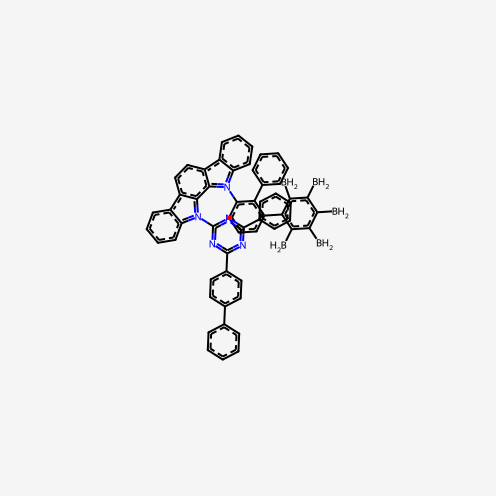 Bc1c(B)c(B)c(-c2cccc(-n3c4ccccc4c4ccc5c6ccccc6n(-c6nc(-c7ccccc7)nc(-c7ccc(-c8ccccc8)cc7)n6)c5c43)c2-c2ccccc2)c(B)c1B